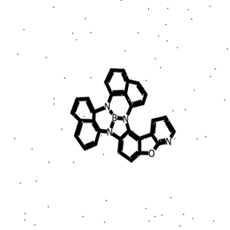 c1cc2c3c(cccc3c1)N1B3N2c2ccc4oc5ncccc5c4c2N3c2cccc3cccc1c23